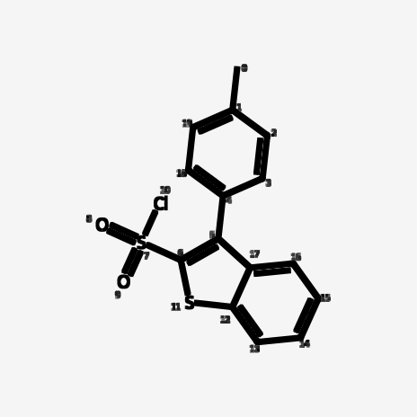 Cc1ccc(-c2c(S(=O)(=O)Cl)sc3ccccc23)cc1